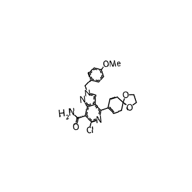 COc1ccc(Cn2cc3c(C4=CCC5(CC4)OCCO5)nc(Cl)c(C(N)=O)c3n2)cc1